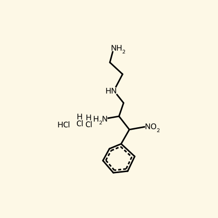 Cl.Cl.Cl.NCCNCC(N)C(c1ccccc1)[N+](=O)[O-]